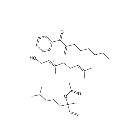 C=C(CCCCCC)C(=O)c1ccccc1.C=CC(C)(CCC=C(C)C)OC(C)=O.CC(C)=CCC/C(C)=C/CO